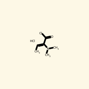 CC=C(C(=O)Cl)N(C)C.Cl